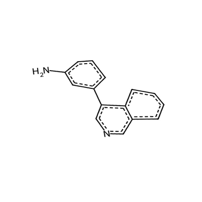 Nc1cccc(-c2cncc3ccccc23)c1